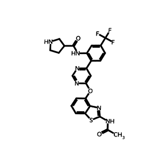 CC(=O)Nc1nc2c(Oc3cc(-c4ccc(C(F)(F)F)cc4NC(=O)C4CCNC4)ncn3)cccc2s1